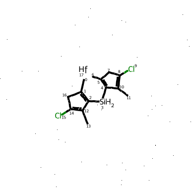 CC1=C([SiH2]C2=C(C)CC(Cl)=C2C)C(C)=C(Cl)C1.[Hf]